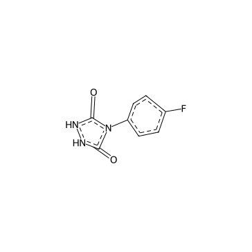 O=c1[nH][nH]c(=O)n1-c1ccc(F)cc1